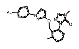 CC(=O)c1ccc(-n2ccc(OCc3c(C)cccc3-n3nnn(C)c3=O)n2)cc1